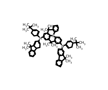 CC(C)(C)C1=CC=C(N(C2=CCC3C(=C2)C(C)(C)c2ccccc23)c2cc3c4c(c2)C(C)(C)c2cc(N(C5=CCC(C(C)(C)C)C=C5)c5ccc6c(c5)C(C)(C)c5ccccc5-6)ccc2N4c2ccccc2C3(C)C)CC1